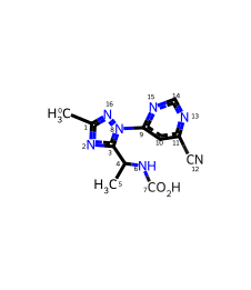 Cc1nc(C(C)NC(=O)O)n(-c2cc(C#N)ncn2)n1